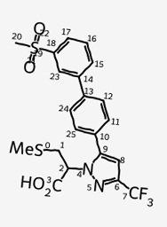 CSCC(C(=O)O)n1nc(C(F)(F)F)cc1-c1ccc(-c2cccc(S(C)(=O)=O)c2)cc1